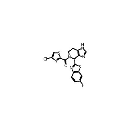 O=C(c1nc(Cl)cs1)N1CCc2[nH]cnc2[C@H]1c1nc2ccc(F)cc2s1